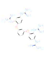 N=C(N)Nc1ccc(Oc2cccc(Oc3ccc(NC(=N)N)cc3NC(=N)N)c2)c(NC(=N)N)c1